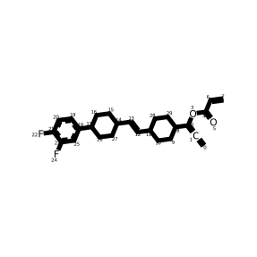 C=C=C(OC(=O)C=C)C1CCC(C=CC2CCC(c3ccc(F)c(F)c3)CC2)CC1